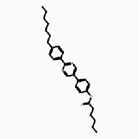 CCCCCCCc1ccc(-c2ncc(-c3ccc(OC(=O)CCCCC)cc3)cn2)cc1